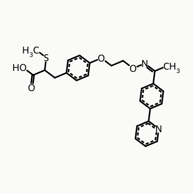 CSC(Cc1ccc(OCCON=C(C)c2ccc(-c3ccccn3)cc2)cc1)C(=O)O